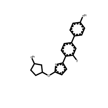 CCCc1ccc(-c2ccc(-c3ccc(OC4CCC(CCC)C4)s3)c(F)c2)cc1